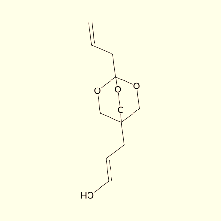 C=CCC12OCC(CC=CO)(CO1)CO2